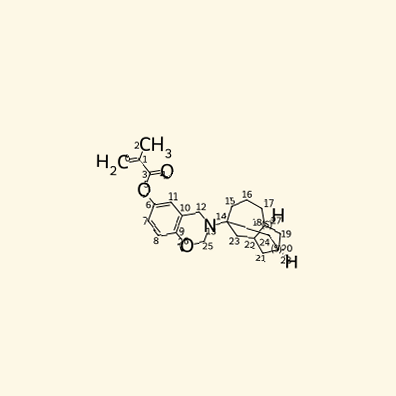 C=C(C)C(=O)Oc1ccc2c(c1)CN(C13CCC[C@H]4C[C@@H](CC4C1)C3)CO2